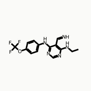 CCNc1ncnc(Nc2ccc(OC(F)(F)F)cc2)c1C=N